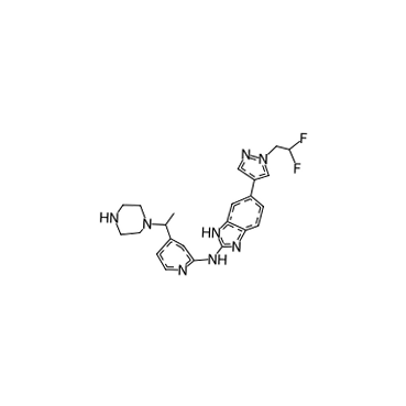 CC(c1ccnc(Nc2nc3ccc(-c4cnn(CC(F)F)c4)cc3[nH]2)c1)N1CCNCC1